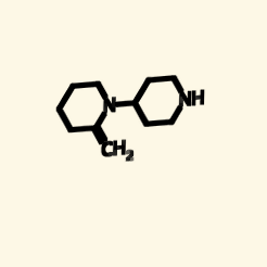 C=C1CCCCN1C1CCNCC1